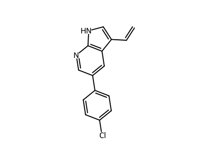 C=Cc1c[nH]c2ncc(-c3ccc(Cl)cc3)cc12